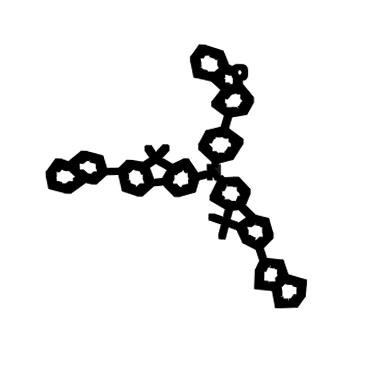 CC1(C)c2cc(-c3ccc4ccccc4c3)ccc2-c2ccc(N(c3ccc(-c4ccc5oc6ccccc6c5c4)cc3)c3ccc4c(c3)C(C)(C)c3cc(-c5ccc6ccccc6c5)ccc3-4)cc21